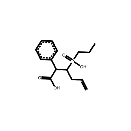 C=CCC(C(C(=O)O)c1ccccc1)P(=O)(O)CCC